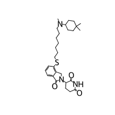 CN(CCCCCCCSc1cccc2c1CN(C1CCC(=O)NC1=O)C2=O)C1CCC(C)(C)CC1